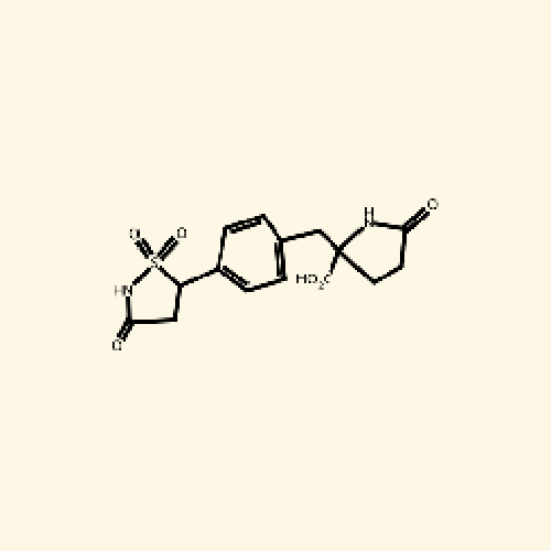 O=C1CCC(Cc2ccc(C3CC(=O)NS3(=O)=O)cc2)(C(=O)O)N1